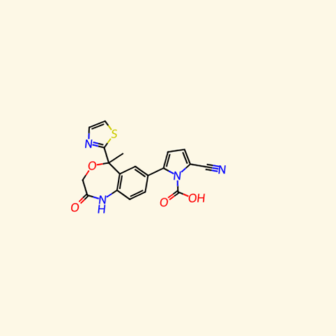 CC1(c2nccs2)OCC(=O)Nc2ccc(-c3ccc(C#N)n3C(=O)O)cc21